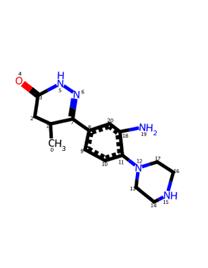 CC1CC(=O)NN=C1c1ccc(N2CCNCC2)c(N)c1